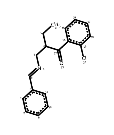 CCC(CN=Cc1ccccc1)C(=O)c1ccccc1Cl